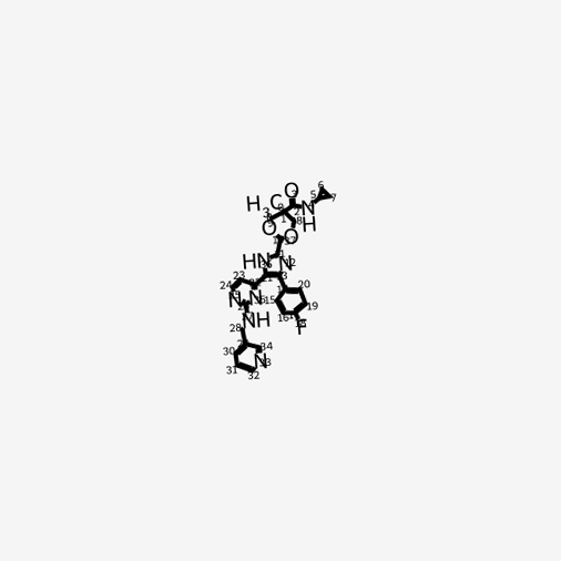 CC1(C(=O)NC2CC2)COC(c2nc(-c3ccc(F)cc3)c(-c3ccnc(NCc4cccnc4)n3)[nH]2)OC1